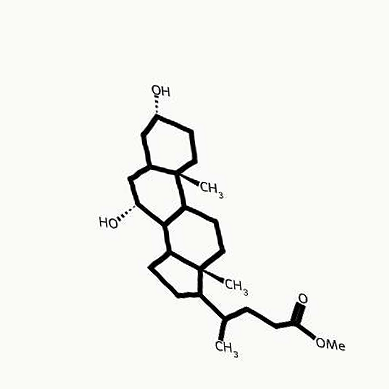 COC(=O)CCC(C)C1CCC2C3C(CC[C@]12C)[C@@]1(C)CC[C@@H](O)CC1C[C@H]3O